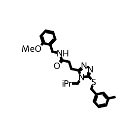 COc1ccccc1CNC(=O)CCc1nnc(SCc2cccc(C)c2)n1CC(C)C